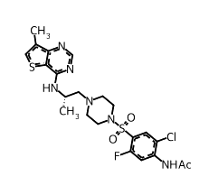 CC(=O)Nc1cc(F)c(S(=O)(=O)N2CCN(C[C@H](C)Nc3ncnc4c(C)csc34)CC2)cc1Cl